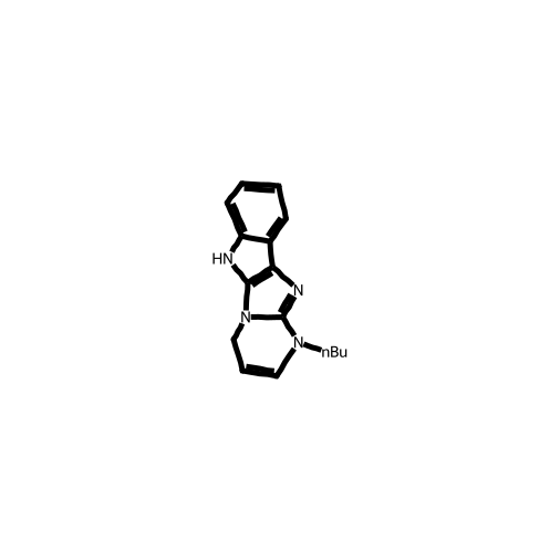 CCCCN1C=CCn2c1nc1c3ccccc3[nH]c12